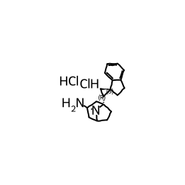 CN1C2CCC1([C@@H]1C[C@@]13CCc1ccccc13)CC(N)C2.Cl.Cl